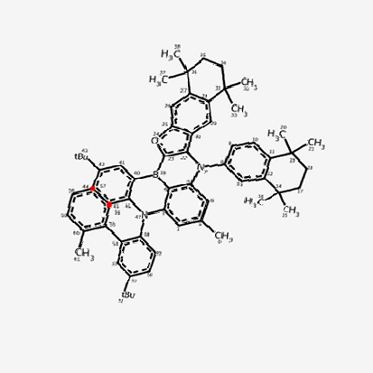 Cc1cc2c3c(c1)N(c1ccc4c(c1)C(C)(C)CCC4(C)C)c1c(oc4cc5c(cc14)C(C)(C)CCC5(C)C)B3c1cc(C(C)(C)C)ccc1N2c1ccc(C(C)(C)C)cc1-c1ccccc1C